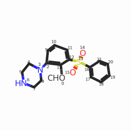 O=Cc1c(N2CCNCC2)cccc1S(=O)(=O)c1ccccc1